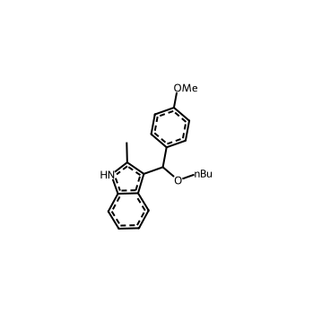 CCCCOC(c1ccc(OC)cc1)c1c(C)[nH]c2ccccc12